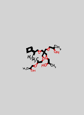 CC(O)COCC(COCC(C)O)(COCC(C)OCC(C)O)COCC(C)C1CCC1